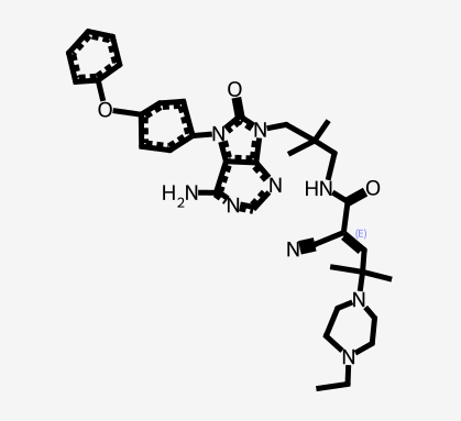 CCN1CCN(C(C)(C)/C=C(\C#N)C(=O)NCC(C)(C)Cn2c(=O)n(-c3ccc(Oc4ccccc4)cc3)c3c(N)ncnc32)CC1